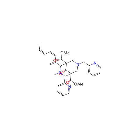 C=C(/C=C\C=C/C)C1N(C)C(c2ccccn2)C2(C(=O)OC)CN(Cc3ccccn3)CC1(C(=O)OC)C2=O